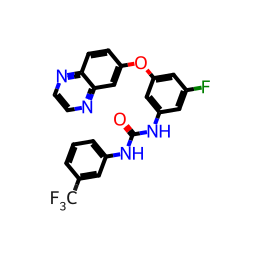 O=C(Nc1cc(F)cc(Oc2ccc3nccnc3c2)c1)Nc1cccc(C(F)(F)F)c1